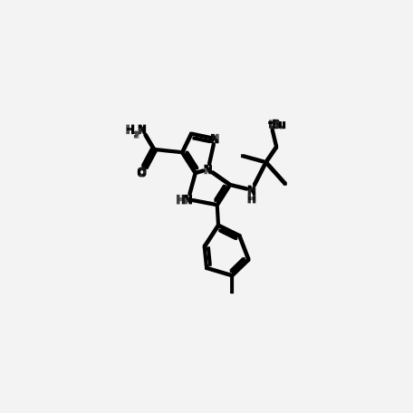 Cc1ccc(-c2[nH]c3c(C(N)=O)cnn3c2NC(C)(C)CC(C)(C)C)cc1